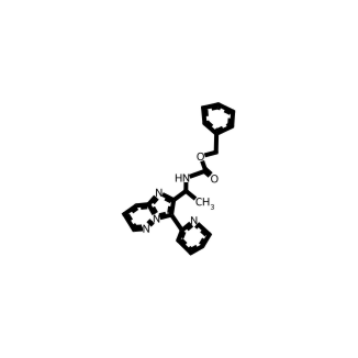 CC(NC(=O)OCc1ccccc1)c1nc2cccnn2c1-c1ccccn1